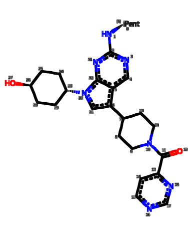 CCC[C@H](C)Nc1ncc2c(C3CCN(C(=O)c4ccncn4)CC3)cn([C@H]3CC[C@H](O)CC3)c2n1